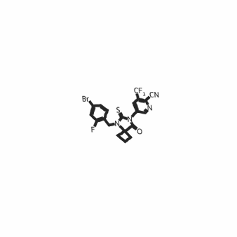 N#Cc1ncc(N2C(=O)C3(CCC3)N(Cc3ccc(Br)cc3F)C2=S)cc1C(F)(F)F